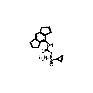 N[S@](=O)(=NC(=O)Nc1c2c(cc3c1CCC3)CCC2)C1CC1